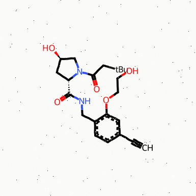 C#Cc1ccc(CNC(=O)[C@@H]2C[C@@H](O)CN2C(=O)CC(C)(C)C)c(OCCO)c1